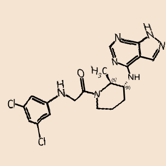 C[C@H]1[C@H](Nc2ncnc3[nH]ncc23)CCCN1C(=O)CNc1cc(Cl)cc(Cl)c1